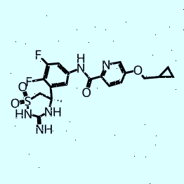 C[C@@]1(c2cc(NC(=O)c3ccc(OCC4CC4)cn3)cc(F)c2F)CS(=O)(=O)NC(=N)N1